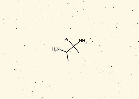 CC(C)C(C)(N)C(C)N